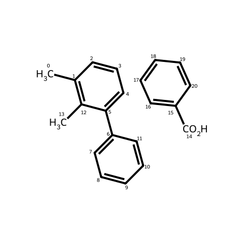 Cc1cccc(-c2ccccc2)c1C.O=C(O)c1ccccc1